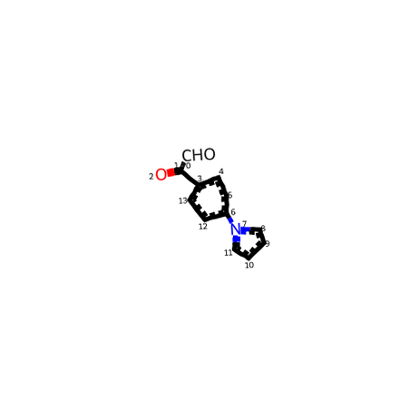 O=CC(=O)c1ccc(-n2cccc2)cc1